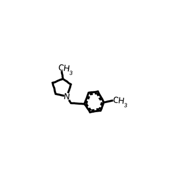 Cc1ccc(CN2CCC(C)C2)cc1